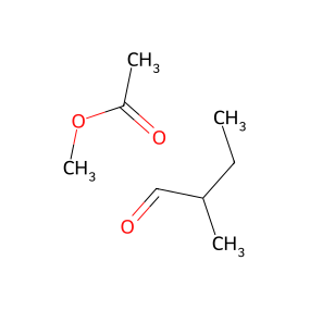 CCC(C)C=O.COC(C)=O